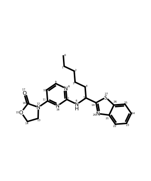 CCCCCC(Nc1nccc(N2CCOC2=O)n1)c1nc2ccccc2s1